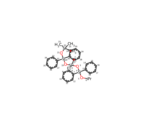 CC[Si](CC)(O[Si](OC(C)C)(c1ccccc1)c1ccccc1)O[Si](O[Si](C)(C)C)(c1ccccc1)c1ccccc1